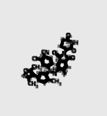 Cc1ccc(-c2c(C)noc2C)cc1N(Nc1cc2c(cc1F)C(=O)N(C1CCC(=O)NC1=O)C2=O)c1ccc(C#N)c(Cl)c1